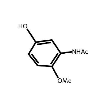 COc1ccc(O)cc1NC(C)=O